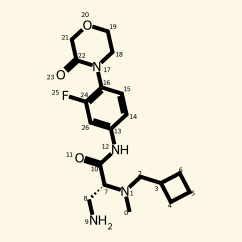 CN(CC1CCC1)[C@H](CN)C(=O)Nc1ccc(N2CCOCC2=O)c(F)c1